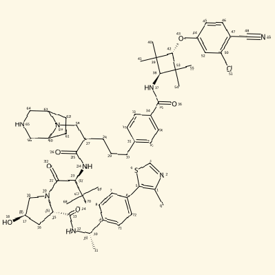 Cc1ncsc1-c1ccc([C@H](C)NC(=O)[C@@H]2C[C@@H](O)CN2C(=O)[C@@H](NC(=O)C(CCCc2ccc(C(=O)N[C@H]3C(C)(C)[C@H](Oc4ccc(C#N)c(Cl)c4)C3(C)C)cc2)CN2C3CCC2CNC3)C(C)(C)C)cc1